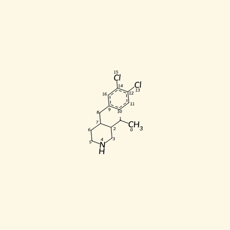 CCC1CNCCC1Cc1ccc(Cl)c(Cl)c1